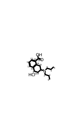 CCCN(CCC)C1CCc2cccc(C(=O)O)c2C1.Cl